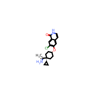 C[C@@H](N)[C@]1(C2CC2)CC[C@@H](Oc2cc3cc[nH]c(=O)c3cc2Cl)CC1